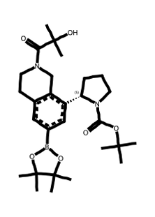 CC(C)(C)OC(=O)N1CCC[C@H]1c1cc(B2OC(C)(C)C(C)(C)O2)cc2c1CN(C(=O)C(C)(C)O)CC2